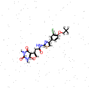 Cn1c(=O)c2c(CC(=O)Nc3nc(-c4ccc(OCC(C)(C)C)c(F)c4)cs3)coc2n(C)c1=O